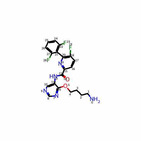 NCCCCOc1ncncc1NC(=O)c1ccc(F)c(-c2c(F)cccc2F)n1